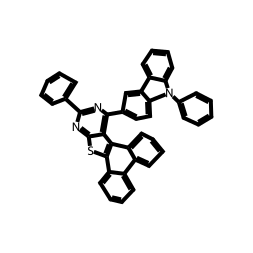 c1ccc(-c2nc(-c3ccc4c(c3)c3ccccc3n4-c3ccccc3)c3c(n2)sc2c4ccccc4c4ccccc4c23)cc1